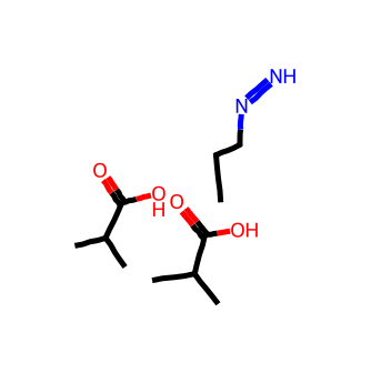 CC(C)C(=O)O.CC(C)C(=O)O.CCCN=N